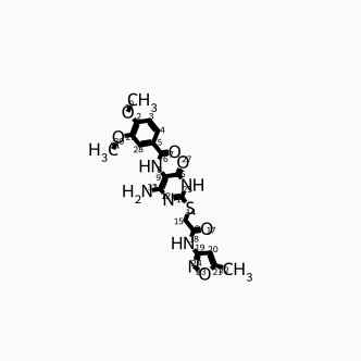 COc1ccc(C(=O)Nc2c(N)nc(SCC(=O)Nc3cc(C)on3)[nH]c2=O)cc1OC